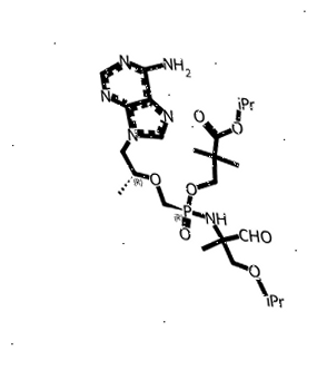 CC(C)OCC(C)(C=O)N[P@@](=O)(CO[C@H](C)Cn1cnc2c(N)ncnc21)OCC(C)(C)C(=O)OC(C)C